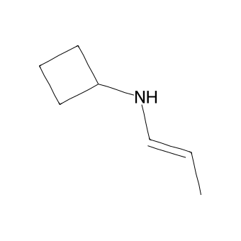 CC=CNC1CCC1